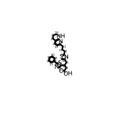 O=C(O)CC(Cc1csc(CCCc2ccc3c(n2)NCCC3)n1)c1cnc(-c2ccccc2)s1